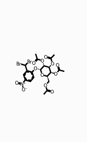 CC(=O)OC[C@H]1O[C@H](Oc2ccc([N+](=O)[O-])cc2C(Br)Br)[C@H](OC(C)=O)[C@@H](OC(C)=O)[C@H]1OC(C)=O